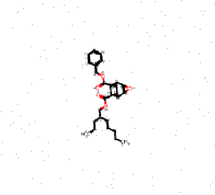 CCCCCC(CCC)COC(=O)C1C2CCC(C3OC23)C1C(=O)OCc1ccccc1